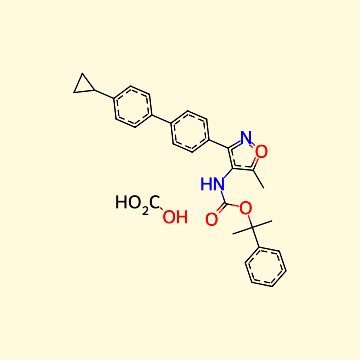 Cc1onc(-c2ccc(-c3ccc(C4CC4)cc3)cc2)c1NC(=O)OC(C)(C)c1ccccc1.O=C(O)O